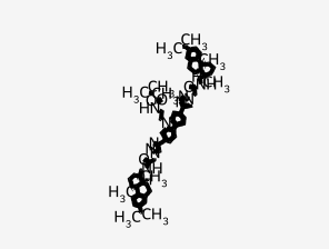 CC(C)c1ccc2c(c1)CC[C@H]1[C@](C)(CNC(=O)Cn3cc(-c4ccc5c6ccc(-c7cn(CC(=O)NC[C@]8(C)CCC[C@]9(C)c%10ccc(C(C)C)cc%10CC[C@@H]89)nn7)cc6n(CCNC(=O)OC(C)(C)C)c5c4)nn3)CCC[C@]21C